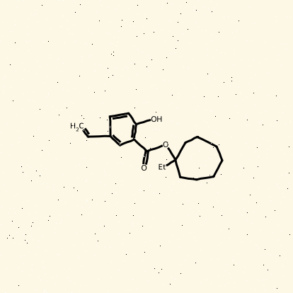 C=Cc1ccc(O)c(C(=O)OC2(CC)CCCCCCC2)c1